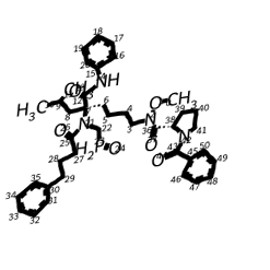 CON(CCCC[C@](CC(C)C)(C(=O)Nc1ccccc1)N(C[PH2]=O)C(=O)CCCc1ccccc1)C(=O)[C@@H]1CCCN1C(=O)c1ccccc1